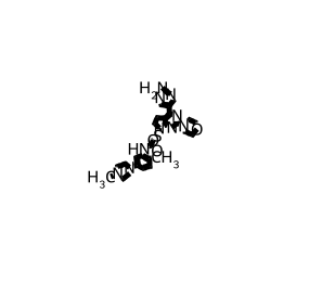 Cc1ccc(N2CCN(C)CC2)cc1NC(=O)OSN1CCc2c(-c3cnc(N)nc3)nc(N3CCOCC3)nc21